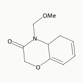 COCN1C(=O)COC2=CC=CCC21